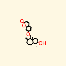 C=C1CCCC2[C@@H](C)[C@@H](O)CC[C@@]2(C)[C@@H]1COc1ccc2ccc(=O)oc2c1